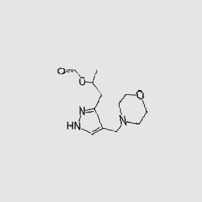 CC(Cc1n[nH]cc1CN1CCOCC1)OC=O